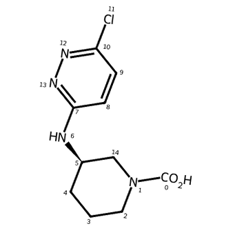 O=C(O)N1CCC[C@@H](Nc2ccc(Cl)nn2)C1